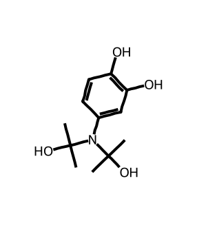 CC(C)(O)N(c1ccc(O)c(O)c1)C(C)(C)O